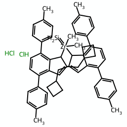 Cc1ccc(-c2ccc(-c3ccc(C)cc3)c3c2C=C(CC2CCC2)[CH]3[Zr]([CH3])([CH3])(=[SiH2])[CH]2C(CC3CCC3)=Cc3c(-c4ccc(C)cc4)ccc(-c4ccc(C)cc4)c32)cc1.Cl.Cl